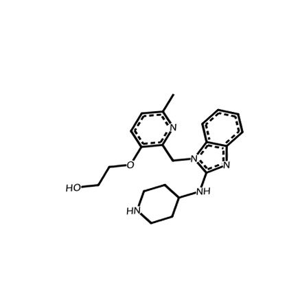 Cc1ccc(OCCO)c(Cn2c(NC3CCNCC3)nc3ccccc32)n1